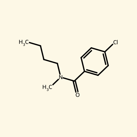 CCCCN(C)C(=O)c1ccc(Cl)cc1